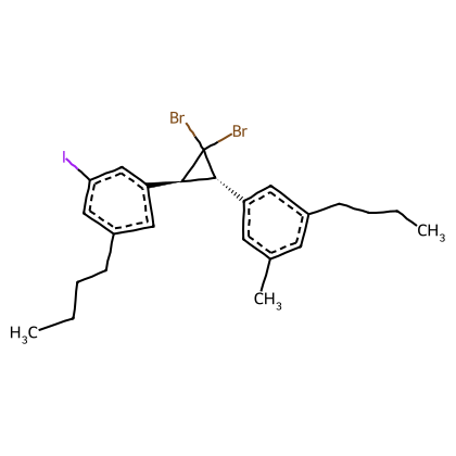 CCCCc1cc(C)cc([C@@H]2[C@@H](c3cc(I)cc(CCCC)c3)C2(Br)Br)c1